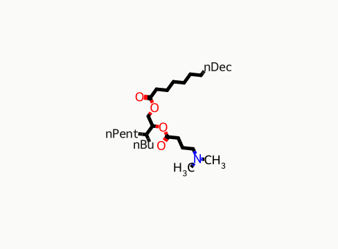 CCCCCCCCCCCCCCCCC(=O)OCC(OC(=O)CCCN(C)C)C(CCCC)CCCCC